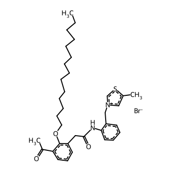 CCCCCCCCCCCCCCOc1c(CC(=O)Nc2ccccc2C[n+]2csc(C)c2)cccc1C(C)=O.[Br-]